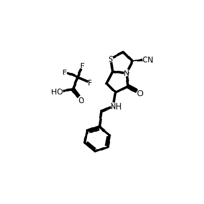 N#C[C@@H]1CSC2CC(NCc3ccccc3)C(=O)N21.O=C(O)C(F)(F)F